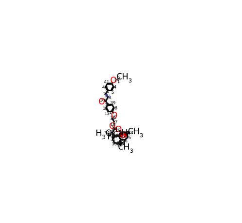 CCOc1ccc(/C=C/C(=O)c2ccc(OCCO[C@H]3O[C@@H]4O[C@]5(C)CC[C@H]6[C@H](C)CC[C@@H]([C@H]3C)[C@@]46OO5)cc2)cc1